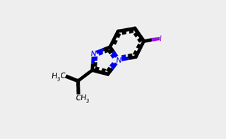 CC(C)c1cn2cc(I)ccc2n1